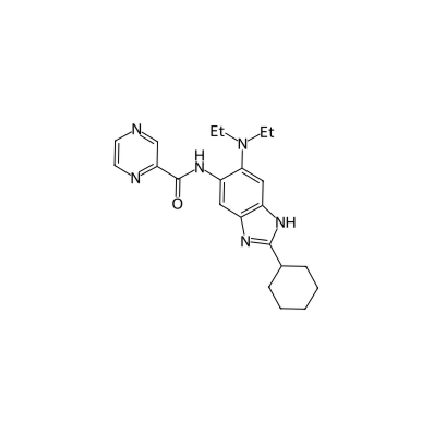 CCN(CC)c1cc2[nH]c(C3CCCCC3)nc2cc1NC(=O)c1cnccn1